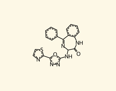 O=C1Nc2ccccc2C(c2ccccc2)=NC1Nc1nnc(-c2nccs2)o1